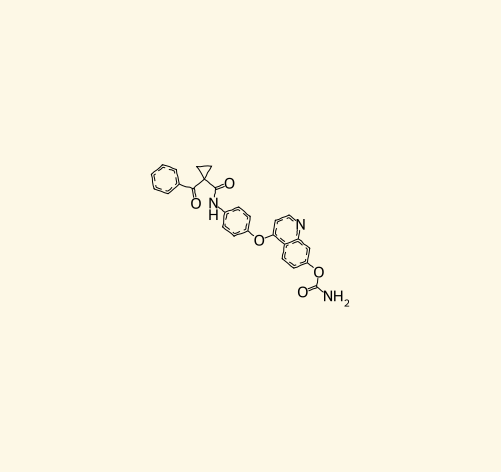 NC(=O)Oc1ccc2c(Oc3ccc(NC(=O)C4(C(=O)c5ccccc5)CC4)cc3)ccnc2c1